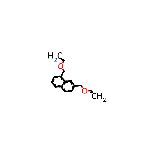 C=COCc1ccc2cccc(COC=C)c2c1